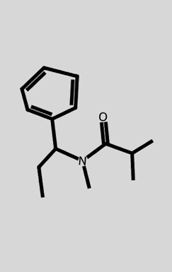 CCC(c1ccccc1)N(C)C(=O)C(C)C